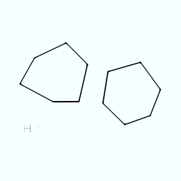 C1CCCCC1.C1CCCCC1.S